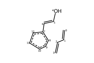 C=CC=C.OC=Cc1ccccc1